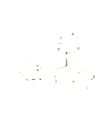 BC=C(c1ccccc1)c1ccccc1.CCc1nc[nH]c1CC